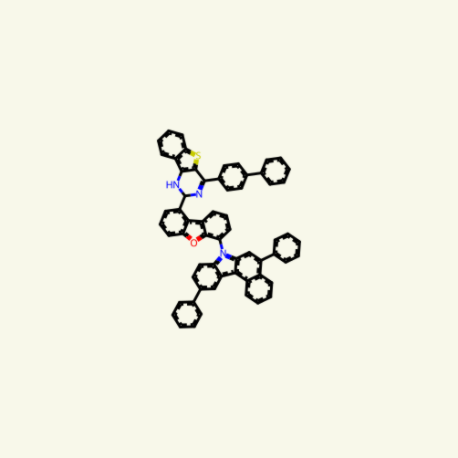 c1ccc(-c2ccc(C3=NC(c4cccc5oc6c(-n7c8ccc(-c9ccccc9)cc8c8c9ccccc9c(-c9ccccc9)cc87)cccc6c45)Nc4c3sc3ccccc43)cc2)cc1